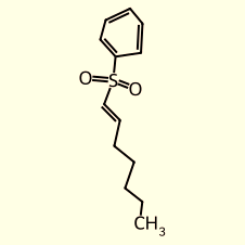 CCCCCC=CS(=O)(=O)c1ccccc1